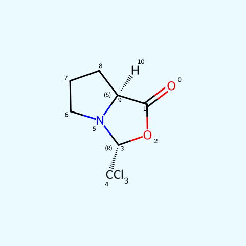 O=C1O[C@H](C(Cl)(Cl)Cl)N2CCC[C@@H]12